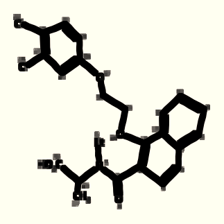 CCN(C(=O)c1ccc2ccccc2c1OCCOc1ccc(Cl)c(Cl)c1)C(C)C(=O)O